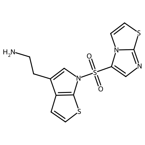 NCCc1cn(S(=O)(=O)c2cnc3sccn23)c2sccc12